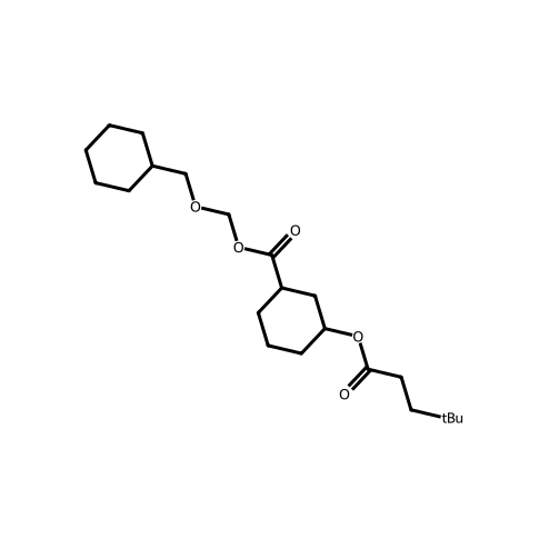 CC(C)(C)CCC(=O)OC1CCCC(C(=O)OCOCC2CCCCC2)C1